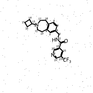 O=C(NCc1ccc2c(c1)CCN(C1CCC1)CC2)c1cncc(C(F)(F)F)c1